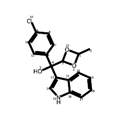 CC1OC(C(O)(c2ccc(Cl)cc2)c2c[nH]c3ccccc23)O1